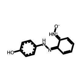 [O-]/[NH+]=C1\C=CC=C\C1=N\Nc1ccc(O)cc1